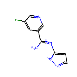 N/C(=N\c1ccn[nH]1)c1cncc(F)c1